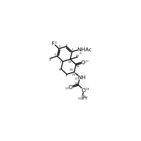 CC(=O)NC1=CC(F)=C(C)C2CC[C@H](NC(=O)OC(C)C)C(=O)C12C